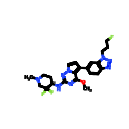 COc1nc(N[C@@H]2CCN(C)CC2(F)F)nn2ccc(-c3ccc4nnn(CCCF)c4c3)c12